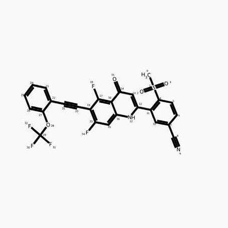 CS(=O)(=O)c1ccc(C#N)cc1-c1cc(=O)c2c(F)c(C#Cc3ccccc3OC(F)(F)F)c(F)cc2[nH]1